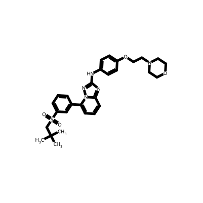 CC(C)(C)CS(=O)(=O)c1cccc(-c2cccc3nc(Nc4ccc(OCCN5CCOCC5)cc4)nn23)c1